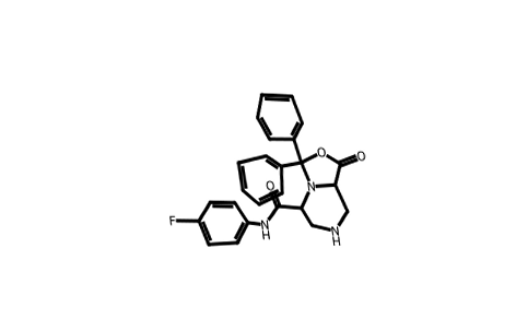 O=C(Nc1ccc(F)cc1)C1CNCC2C(=O)OC(c3ccccc3)(c3ccccc3)N12